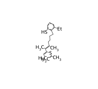 C=C(C)SC(=C\C)/C(C)=C(\C)CCCCc1c(S)cccc1CC